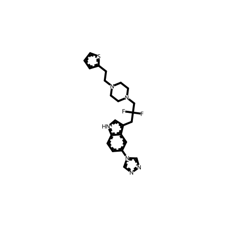 FC(F)(Cc1c[nH]c2ccc(-n3cnnc3)cc12)CN1CCN(CCc2cccs2)CC1